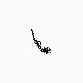 CCCCCCCCCCc1ccc(C(=O)Nc2ccc(-c3ccc4c(c3)C(=O)N(C(C(=O)OC)C(C)C)C4)cc2)cc1